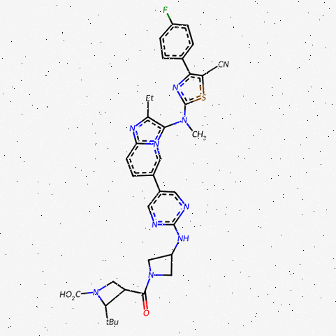 CCc1nc2ccc(-c3cnc(NC4CN(C(=O)C5CN(C(=O)O)C5C(C)(C)C)C4)nc3)cn2c1N(C)c1nc(-c2ccc(F)cc2)c(C#N)s1